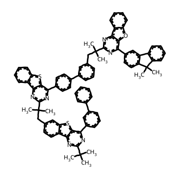 CC(C)(C)c1nc(-c2cccc(-c3ccccc3)c2)c2sc3cc(CC(C)(C)c4nc(-c5ccc(-c6cccc(CC(C)(C)c7nc(-c8ccc9c(c8)-c8ccccc8C9(C)C)c8oc9ccccc9c8n7)c6)cc5)c5sc6ccccc6c5n4)ccc3c2n1